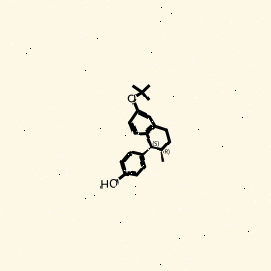 C[C@@H]1CCc2cc(OC(C)(C)C)ccc2[C@@H]1c1ccc(O)cc1